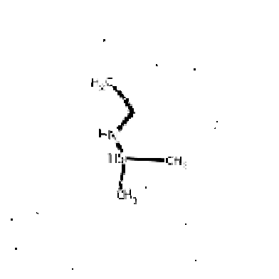 [CH2]CN[SiH](C)C